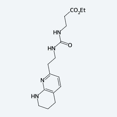 CCOC(=O)CCNC(=O)NCCc1ccc2c(n1)NCCC2